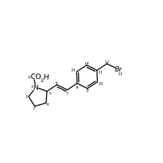 O=C(O)N1CCCC1/C=C/c1ccc(CBr)cc1